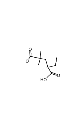 CC[C@](C)(CC(C)(C)C(=O)O)C(=O)O